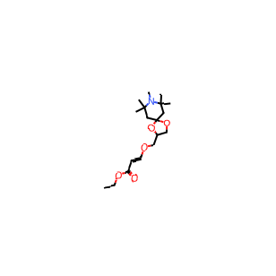 CCOC(=O)C=COCC1COC2(CC(C)(C)N(C)C(C)(C)C2)O1